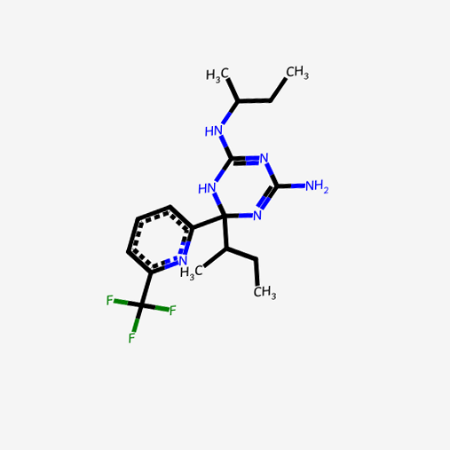 CCC(C)NC1=NC(N)=NC(c2cccc(C(F)(F)F)n2)(C(C)CC)N1